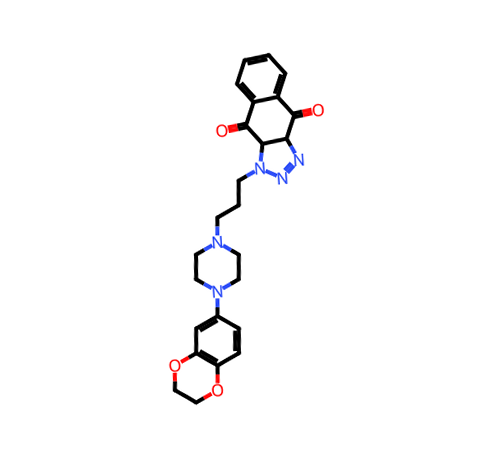 O=C1c2ccccc2C(=O)C2C1N=NN2CCCN1CCN(c2ccc3c(c2)OCCO3)CC1